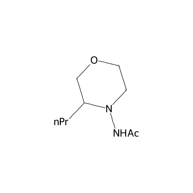 CCCC1COCCN1NC(C)=O